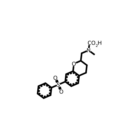 CN(CC1CCc2ccc(S(=O)(=O)c3ccccc3)cc2O1)C(=O)O